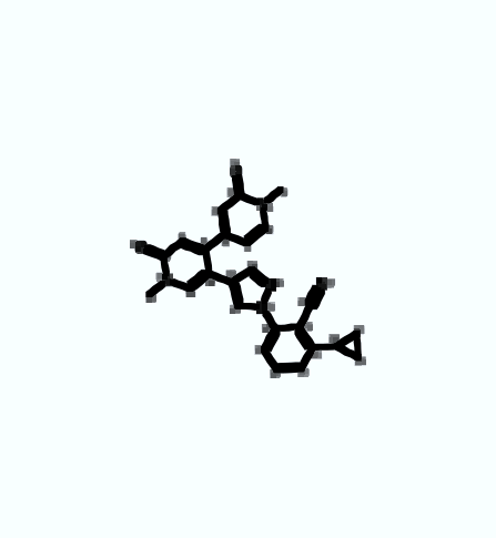 Cn1ccc(-c2cc(=O)n(C)cc2-c2cnn(-c3cccc(C4CC4)c3C#N)c2)cc1=O